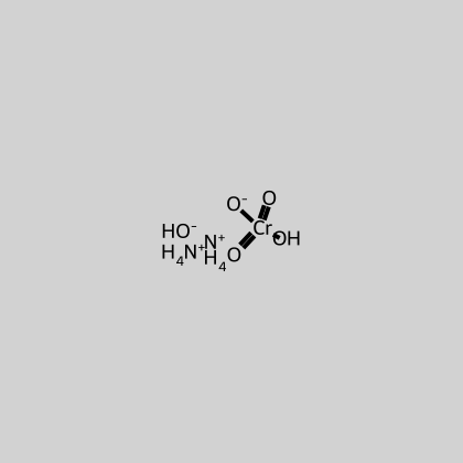 [NH4+].[NH4+].[OH-].[O]=[Cr](=[O])([O-])[OH]